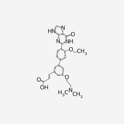 CCOc1cc(-c2cc(/C=C/C(=O)O)cc(OCCN(C)C)c2)ccc1-c1nc2[nH]cnc2c(=O)[nH]1